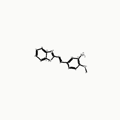 COc1ccc(/C=C/c2nc3ccccc3s2)cc1N